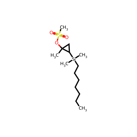 CCCCCCC[Si](C)(C)C1CC1(C)OS(C)(=O)=O